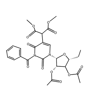 CC[C@H]1O[C@@H](n2cc(C(C(=O)OC)C(=O)OC)c(=O)n(C(=O)c3ccccc3)c2=O)[C@@H](OC(C)=O)C1OC(C)=O